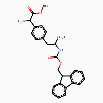 CC(C)(C)OC(=O)C(N)c1ccc(CC(NC(=O)OCC2c3ccccc3-c3ccccc32)C(=O)O)cc1